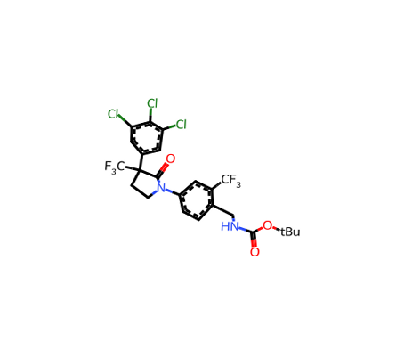 CC(C)(C)OC(=O)NCc1ccc(N2CCC(c3cc(Cl)c(Cl)c(Cl)c3)(C(F)(F)F)C2=O)cc1C(F)(F)F